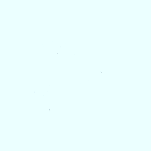 O=C(OC(=O)c1ccccn1)c1cc(C(=O)OC(=O)c2ccccn2)cc(C(=O)OC(=O)c2ccccn2)c1